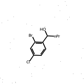 CCCC(O)c1ccc(Cl)cc1Br